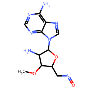 COC1C(CN=O)OC(n2cnc3c(N)ncnc32)C1N